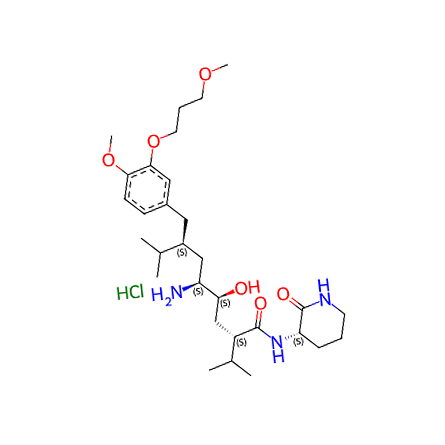 COCCCOc1cc(C[C@@H](C[C@H](N)[C@@H](O)C[C@H](C(=O)N[C@H]2CCCNC2=O)C(C)C)C(C)C)ccc1OC.Cl